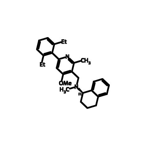 CCc1cccc(CC)c1-c1cc(OC)c(CN(C)[C@@H]2CCCc3ccccc32)c(C)n1